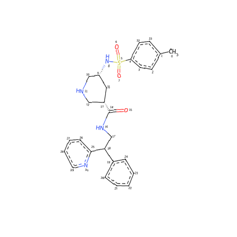 Cc1ccc(S(=O)(=O)N[C@H]2CNC[C@@H](C(=O)NCC(c3ccccc3)c3ccccn3)C2)cc1